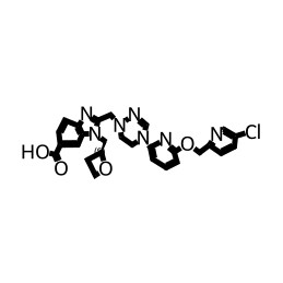 O=C(O)c1ccc2nc(CN3CCN(c4cccc(OCc5ccc(Cl)cn5)n4)C=N3)n(C[C@@H]3CCO3)c2c1